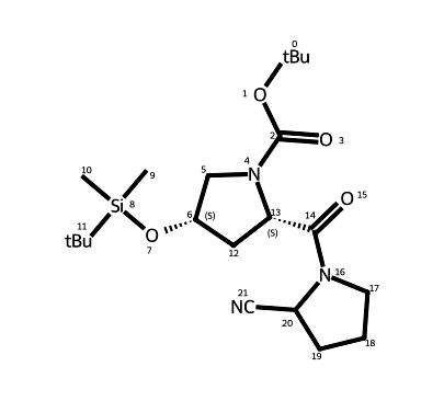 CC(C)(C)OC(=O)N1C[C@@H](O[Si](C)(C)C(C)(C)C)C[C@H]1C(=O)N1CCCC1C#N